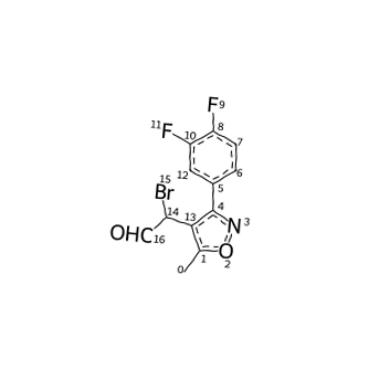 Cc1onc(-c2ccc(F)c(F)c2)c1C(Br)C=O